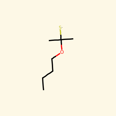 CCCCOC(C)(C)[S]